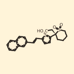 O=C(O)C[C@]1(c2ccc(/C=C/c3ccc4ccccc4c3)s2)CCCCS1(=O)=O